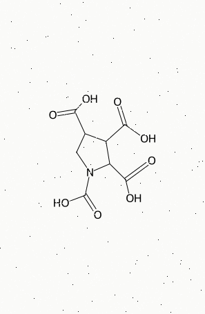 O=C(O)C1CN(C(=O)O)C(C(=O)O)C1C(=O)O